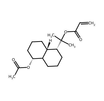 C=CC(=O)OC(C)(C)[C@@H]1CCCC2[C@H](OC(C)=O)CCC[C@@H]21